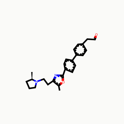 Cc1oc(-c2ccc(-c3ccc(CC=O)cc3)cc2)nc1CCN1CCC[C@H]1C